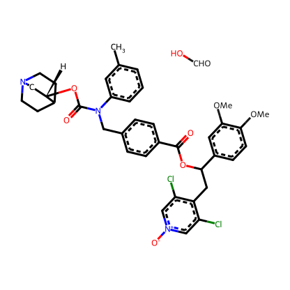 COc1ccc(C(Cc2c(Cl)c[n+]([O-])cc2Cl)OC(=O)c2ccc(CN(C(=O)O[C@H]3CN4CCC3CC4)c3cccc(C)c3)cc2)cc1OC.O=CO